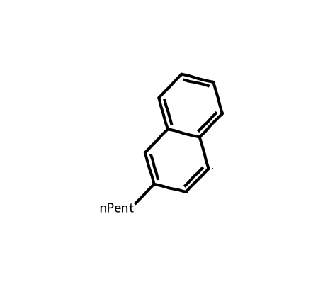 CCCCCc1c[c]c2ccccc2c1